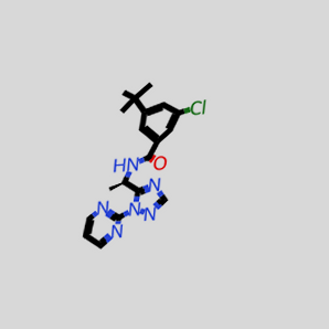 C[C@@H](NC(=O)c1cc(Cl)cc(C(C)(C)C)c1)c1ncnn1-c1ncccn1